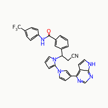 N#CCC(c1cccc(C(=O)Nc2ccc(C(F)(F)F)cc2)c1)n1cccc1-n1ccc(-c2ncnc3[nH]ccc23)c1